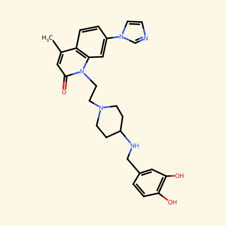 Cc1cc(=O)n(CCN2CCC(NCc3ccc(O)c(O)c3)CC2)c2cc(-n3ccnc3)ccc12